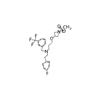 CS(=O)(=O)N1CC(OCCCN(CCc2ccc(F)cc2)Cc2cccc(C(F)(F)F)c2)C1